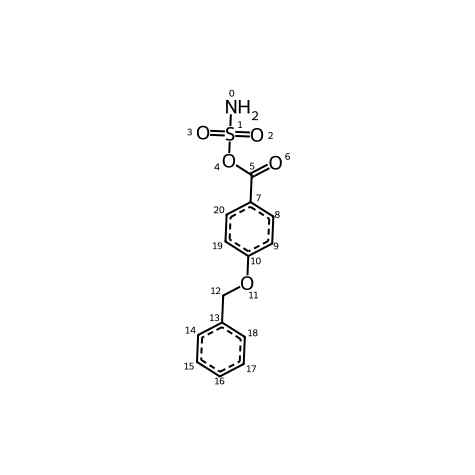 NS(=O)(=O)OC(=O)c1ccc(OCc2ccccc2)cc1